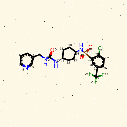 O=C(NCc1cccnc1)N[C@H]1CC[C@H](NS(=O)(=O)c2cc(C(F)(F)F)ccc2Cl)CC1